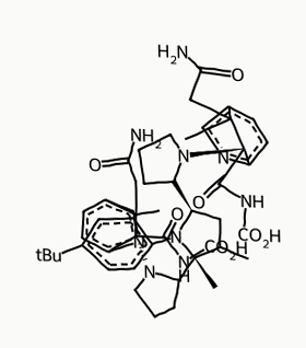 CC1C[C@H](C2CCCN2[C@]2(C(=O)NC(=O)O)c3ccc(cn3)C2(C)CC(N)=O)N(c2ccc(C(C)(C)C)cc2)[C@@]1(C)C1CCCN1[C@]1(C(=O)NC(=O)O)c2ccc(cn2)C1(C)CC(N)=O